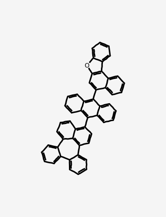 c1ccc2c(c1)-c1ccccc1-c1ccc(-c3c4ccccc4c(-c4cc5oc6ccccc6c5c5ccccc45)c4ccccc34)c3cccc-2c13